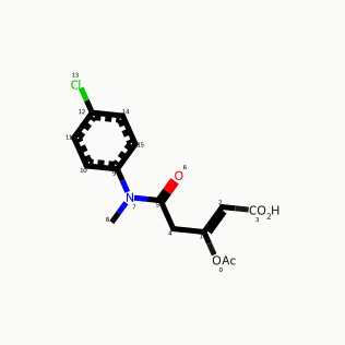 CC(=O)OC(=CC(=O)O)CC(=O)N(C)c1ccc(Cl)cc1